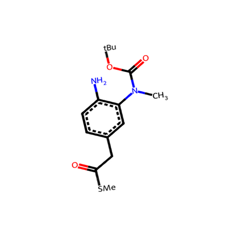 CSC(=O)Cc1ccc(N)c(N(C)C(=O)OC(C)(C)C)c1